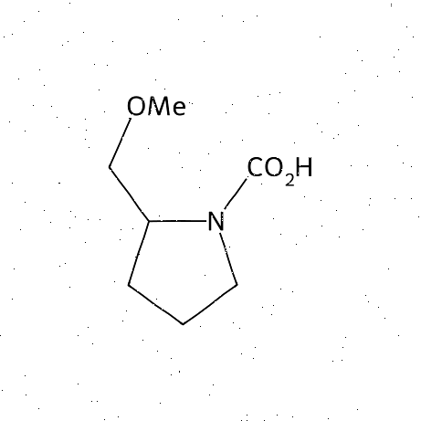 COCC1CCCN1C(=O)O